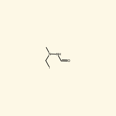 CN(CI)NC=O